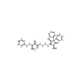 N=C1NC(c2ccccc2)(c2ccccc2)C(=O)N1CCCCNC(=O)[C@@H](N)CCc1ccncc1